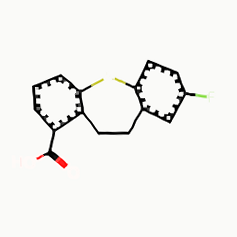 O=C(O)c1cccc2c1CCc1cc(F)ccc1S2